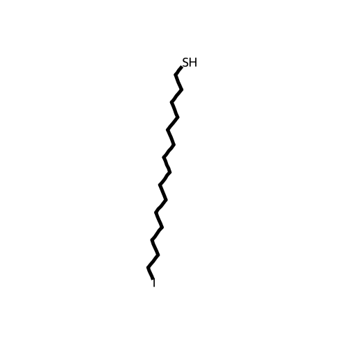 SCCCCCCCCCCCCCCCI